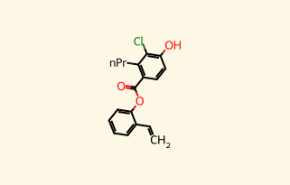 C=Cc1ccccc1OC(=O)c1ccc(O)c(Cl)c1CCC